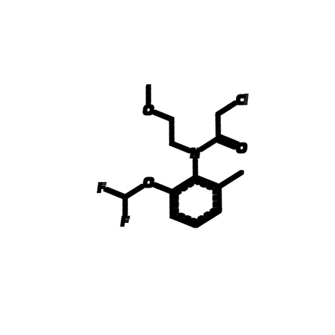 COCCN(C(=O)CCl)c1c(C)cccc1OC(F)F